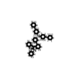 c1ccc(-c2ccc(N(c3ccc(-c4ccccc4)cc3)c3cccc(-c4cccc5c4c4c6ccccc6n6c7ccccc7n5c46)c3)cc2)cc1